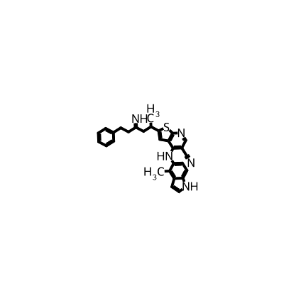 Cc1c(Nc2c(C#N)cnc3sc(C(C)CC(=N)CCc4ccccc4)cc23)ccc2[nH]ccc12